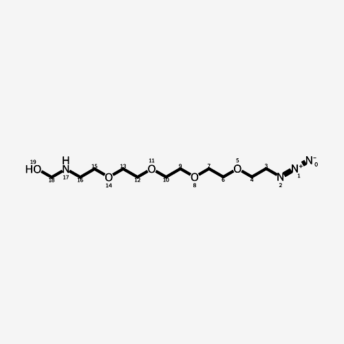 [N-]=[N+]=NCCOCCOCCOCCOCCNCO